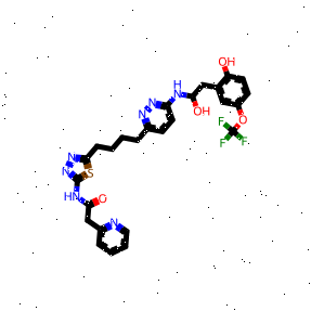 O=C(Cc1ccccn1)Nc1nnc(CCCCc2ccc(NC(O)Cc3cc(OC(F)(F)F)ccc3O)nn2)s1